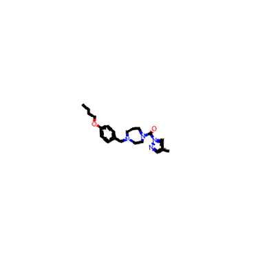 CCCCOc1ccc(CN2CCCN(C(=O)n3cc(C)cn3)CC2)cc1